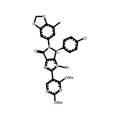 COc1ncc(-c2nc3c(n2C(C)C)[C@H](c2ccc(Cl)cc2)N(c2cc(C)c4c(c2)OCO4)C3=O)c(OC)n1